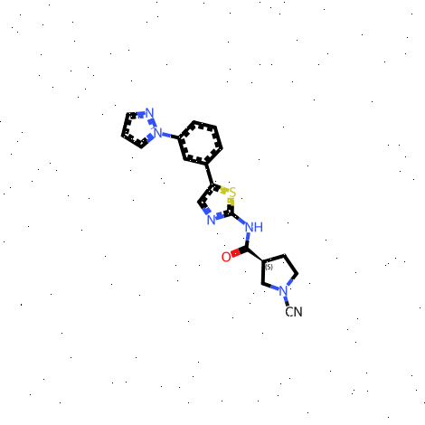 N#CN1CC[C@H](C(=O)Nc2ncc(-c3cccc(-n4cccn4)c3)s2)C1